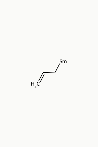 C=C[CH2][Sm]